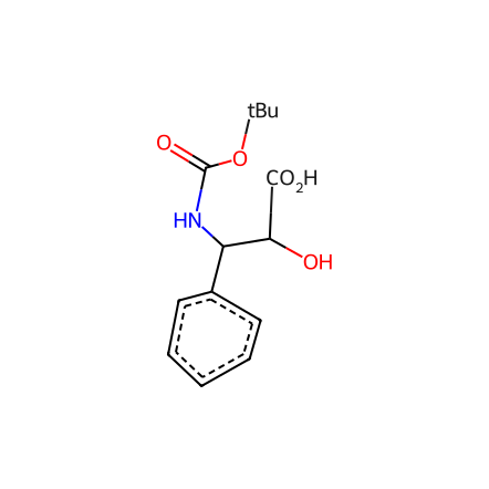 CC(C)(C)OC(=O)NC(c1ccccc1)C(O)C(=O)O